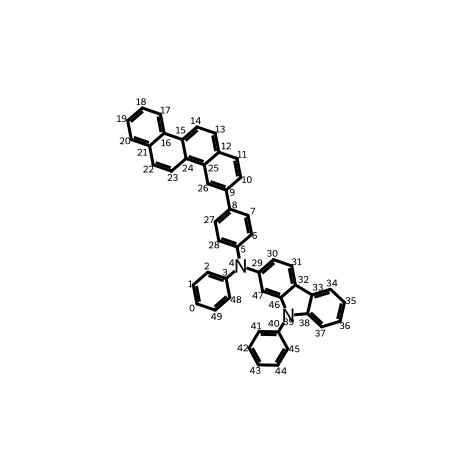 c1ccc(N(c2ccc(-c3ccc4ccc5c6ccccc6ccc5c4c3)cc2)c2ccc3c4ccccc4n(-c4ccccc4)c3c2)cc1